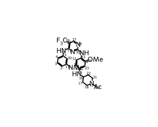 CNc1cccc(Nc2nc(Nc3ccc(NC4CCN(C(C)=O)CC4)cc3OC)ncc2C(F)(F)F)c1